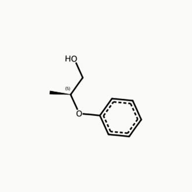 C[C@@H](CO)Oc1ccccc1